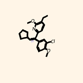 CCc1ccc(/C(=C\C2CCCC2)c2ccc(OC)c(Cl)c2)nc1OC